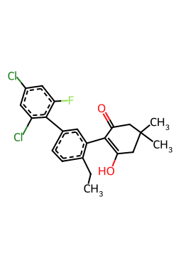 CCc1ccc(-c2c(F)cc(Cl)cc2Cl)cc1C1=C(O)CC(C)(C)CC1=O